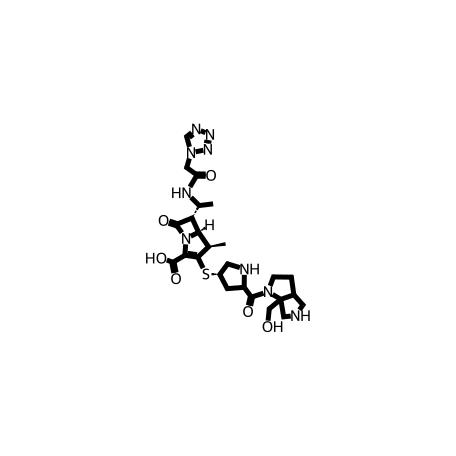 CC(NC(=O)Cn1cnnn1)[C@H]1C(=O)N2C(C(=O)O)=C(S[C@@H]3CNC(C(=O)N4CCC5CNCC54CO)C3)[C@H](C)[C@H]12